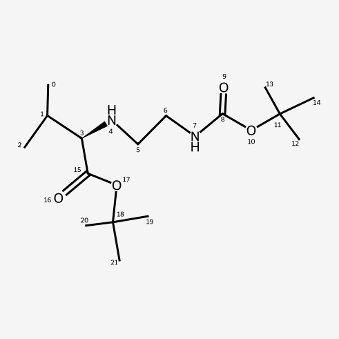 CC(C)[C@@H](NCCNC(=O)OC(C)(C)C)C(=O)OC(C)(C)C